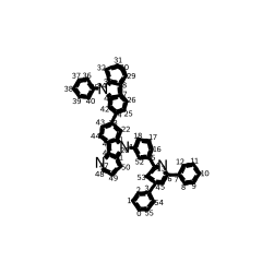 c1ccc(-c2cc(-c3ccccc3)nc(-c3cccc(-n4c5cc(-c6ccc7c8ccccc8n(-c8ccccc8)c7c6)ccc5c5ncccc54)c3)c2)cc1